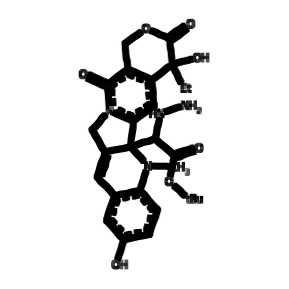 CCC1(O)C(=O)OCc2c1cc1n(c2=O)CC2=Cc3cc(O)ccc3N(C)C21C(NN)C(=O)OC(C)(C)C